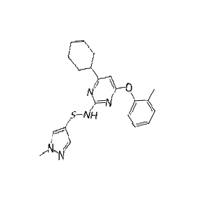 Cc1ccccc1Oc1cc(C2CCCCC2)nc(NSc2cnn(C)c2)n1